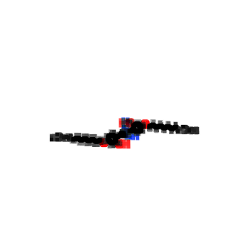 CCCCCCCCCCCCCCCCCCOc1ccc(C2NC3C(N2)C3c2ccc(OCCCCCCCCCCCCCCCCCC)cc2O)c(O)c1